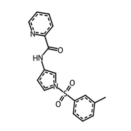 Cc1cccc(S(=O)(=O)n2ccc(NC(=O)c3ccccn3)c2)c1